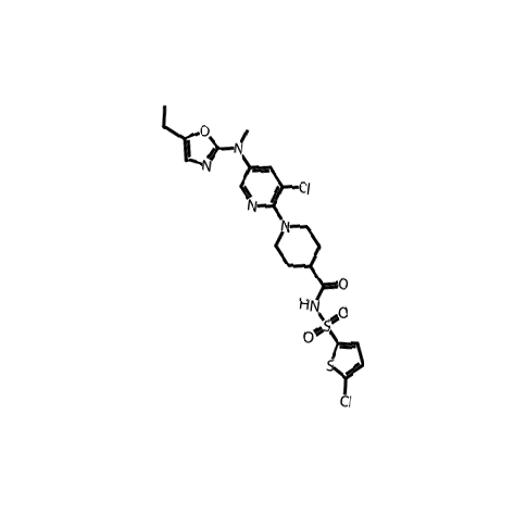 CCc1cnc(N(C)c2cnc(N3CCC(C(=O)NS(=O)(=O)c4ccc(Cl)s4)CC3)c(Cl)c2)o1